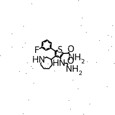 NC(=O)Nc1c(C(N)=O)sc(-c2cccc(F)c2)c1C1CCCCNC1